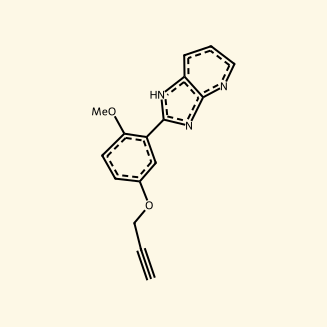 C#CCOc1ccc(OC)c(-c2nc3ncccc3[nH]2)c1